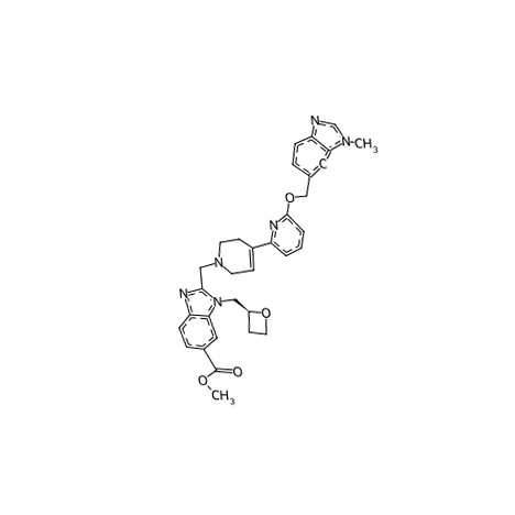 COC(=O)c1ccc2nc(CN3CC=C(c4cccc(OCc5ccc6ncn(C)c6c5)n4)CC3)n(C[C@@H]3CCO3)c2c1